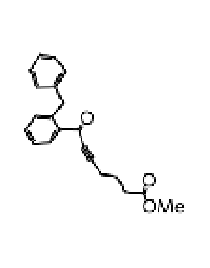 COC(=O)CCCC#CC(=O)c1ccccc1Cc1ccccc1